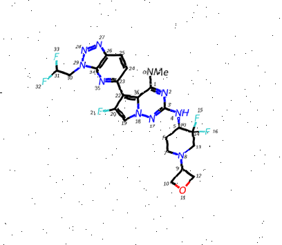 CNc1nc(N[C@@H]2CCN(C3COC3)CC2(F)F)nn2cc(F)c(-c3ccc4nnn(CC(F)F)c4n3)c12